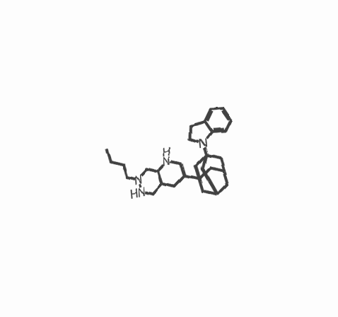 CCCCN1CC2NCC(C34CC5CC(C3)CC(N3CCc6ccccc63)(C5)C4)CC2CN1